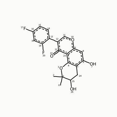 CC1(C)Oc2c(c(O)cc3occ(-c4ccc(F)cc4F)c(=O)c23)CC1O